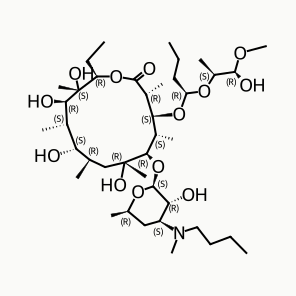 CCCCN(C)[C@H]1C[C@@H](C)O[C@@H](O[C@@H]2[C@@H](C)[C@H](O[C@@H](CCC)O[C@@H](C)[C@H](O)OC)[C@@H](C)C(=O)O[C@H](CC)[C@@](C)(O)[C@H](O)[C@@H](C)[C@@H](O)[C@H](C)C[C@@]2(C)O)[C@@H]1O